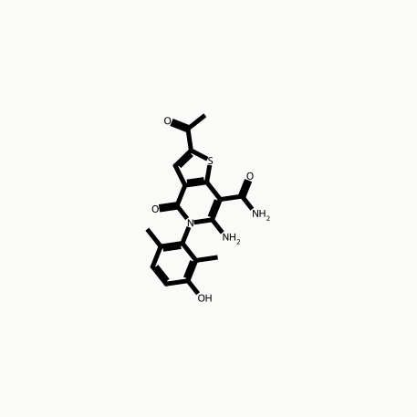 CC(=O)c1cc2c(=O)n(-c3c(C)ccc(O)c3C)c(N)c(C(N)=O)c2s1